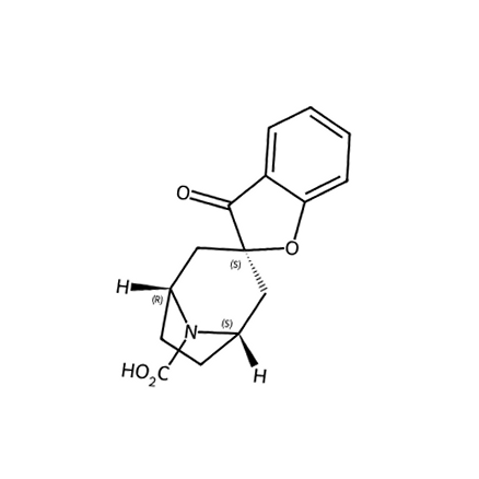 O=C(O)N1[C@@H]2CC[C@H]1C[C@@]1(C2)Oc2ccccc2C1=O